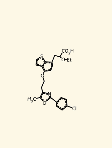 CCOC(Cc1ccc(OCCc2nc(-c3ccc(Cl)cc3)oc2C)c2ccsc12)C(=O)O